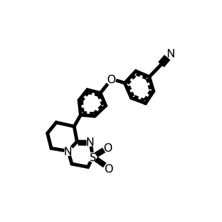 N#Cc1cccc(Oc2ccc(C3CCCN4CCS(=O)(=O)N=C34)cc2)c1